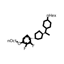 CCCCCCCCOc1ccc([C@H]2CC[C@H](C(C)C3CCC(CCCCCC)CC3)CC2)c(F)c1F